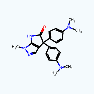 CN(C)c1ccc(C2(c3ccc(N(C)C)cc3)C(=O)Nc3c2cnn3C)cc1